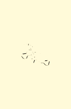 CC(=O)NC[C@@H]1Sc2ccccc2C(S(=O)(=O)C(=O)OCc2ccccc2)[C@@H]1C